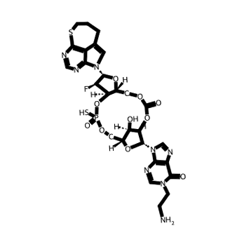 NCCn1cnc2c(ncn2[C@@H]2O[C@@H]3COP(=O)(S)O[C@H]4[C@@H](F)[C@H](n5cc6c7c(ncnc75)SCCC6)O[C@@H]4COC(=O)O[C@@H]2[C@@H]3O)c1=O